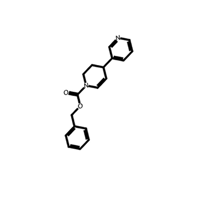 O=C(OCc1ccccc1)N1C=CC(c2cccnc2)CC1